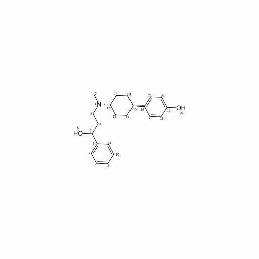 CN(CCC(O)c1ccccc1)[C@H]1CC[C@H](c2ccc(O)cc2)CC1